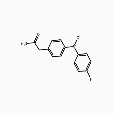 NC(=O)Cc1ccc([S+]([O-])c2ccc(F)cc2)cc1